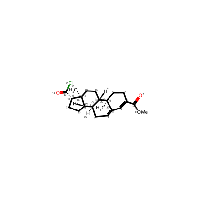 COC(=O)C1=CC2=CC[C@H]3[C@@H]4CC[C@H](C(=O)Cl)[C@@]4(C)CC[C@@H]3[C@@]2(C)CC1